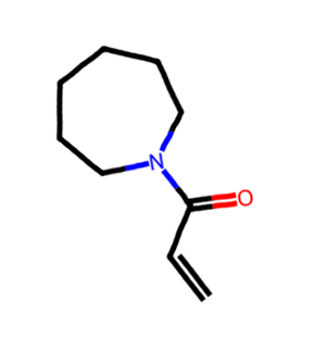 C=CC(=O)N1CCCCCC1